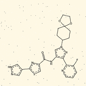 O=C(Nc1cn(C2CCC3(CC2)OCCO3)nc1-c1ncccc1F)c1csc(-c2cn[nH]c2)n1